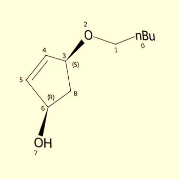 CCCCCO[C@@H]1C=C[C@H](O)C1